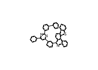 c1ccc(-c2cccc(-c3nc(-c4ccccc4)cc(-c4cccc(-c5nc6ccccc6c6c5ccc5c7ccccc7sc56)c4)n3)c2)cc1